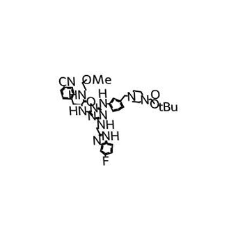 COCCNC(=O)[C@H](Cc1ccc(C#N)cc1)Nc1nc(NCc2nc3cc(F)ccc3[nH]2)nc(Nc2cccc(CN3CCN(C(=O)OC(C)(C)C)CC3)c2)n1